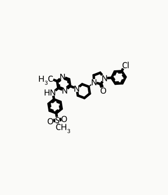 Cc1ncc(N2CCC[C@@H](N3CCN(c4cccc(Cl)c4)C3=O)C2)nc1Nc1ccc(S(C)(=O)=O)cc1